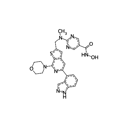 CN(Cc1cc2cc(-c3cccc4[nH]ncc34)nc(N3CCOCC3)c2s1)c1ncc(C(=O)NO)cn1